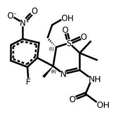 CC1(C)C(NC(=O)O)=N[C@](C)(c2cc([N+](=O)[O-])ccc2F)[C@H](CCO)S1(=O)=O